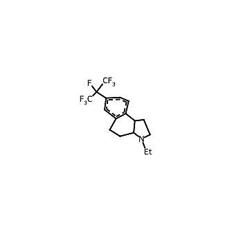 CCN1CCC2c3ccc(C(F)(C(F)(F)F)C(F)(F)F)cc3CCC21